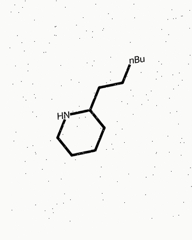 [CH2]CCCCCC1CCCCN1